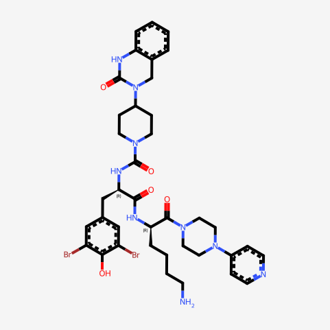 NCCCC[C@@H](NC(=O)[C@@H](Cc1cc(Br)c(O)c(Br)c1)NC(=O)N1CCC(N2Cc3ccccc3NC2=O)CC1)C(=O)N1CCN(c2ccncc2)CC1